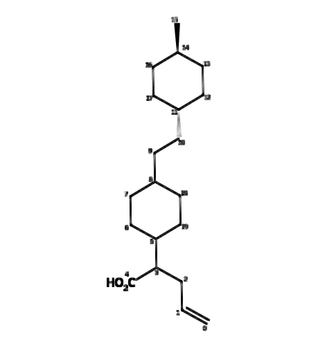 C=CCC(C(=O)O)C1CCC(CC[C@H]2CC[C@H](C)CC2)CC1